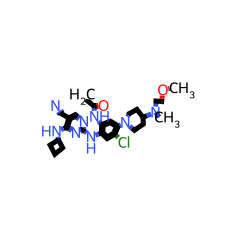 C=CC(=O)Nc1cc(N2CCC(N(C)CCOC)CC2)c(Cl)cc1Nc1ncc(C#N)c(NC2CCC2)n1